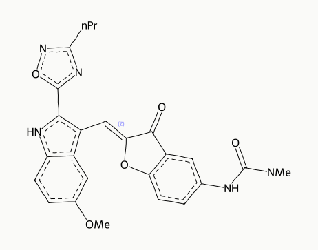 CCCc1noc(-c2[nH]c3ccc(OC)cc3c2/C=C2\Oc3ccc(NC(=O)NC)cc3C2=O)n1